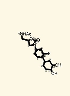 CC(=O)NCC1CN(c2ccc(C3CCC(O)C(O)C3)c(F)c2)C(=O)O1